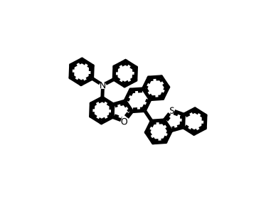 c1ccc(N(c2ccccc2)c2cccc3oc4c(-c5cccc6c5sc5ccccc56)c5ccccc5cc4c23)cc1